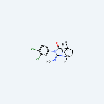 N#CN=C1N(c2ccc(Cl)c(Cl)c2)C(=O)[C@H]2[C@@H]3CC[C@@H](C3)N12